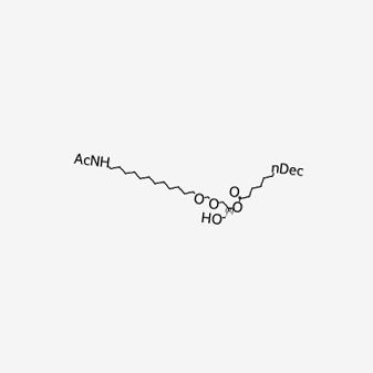 CCCCCCCCCCCCCCCC(=O)O[C@H](CO)COCOCCCCCCCCCCCCNC(C)=O